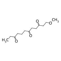 CCC(=O)CCCC(=O)CCC(=O)CCOC